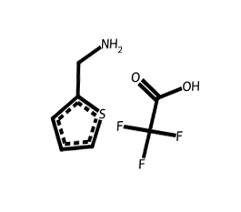 NCc1cccs1.O=C(O)C(F)(F)F